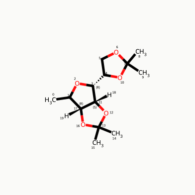 CC1O[C@H](C2COC(C)(C)O2)[C@@H]2OC(C)(C)O[C@H]12